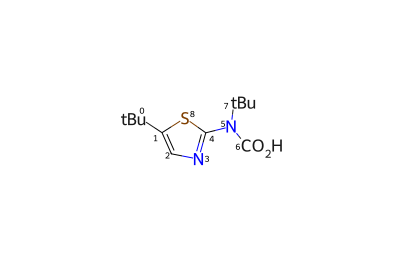 CC(C)(C)c1cnc(N(C(=O)O)C(C)(C)C)s1